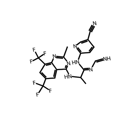 Cc1nc(NC(C)/C(=N/C=N)Nc2ccc(C#N)cn2)c2cc(C(F)(F)F)cc(C(F)(F)F)c2n1